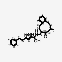 CC1CCc2ccccc2CCC(CNC(O)c2cc(CCc3ccccc3)n[nH]2)C(=O)C1